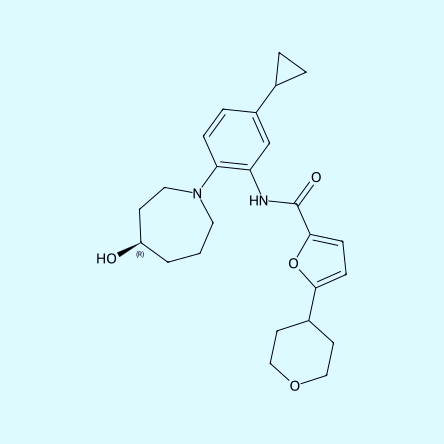 O=C(Nc1cc(C2CC2)ccc1N1CCC[C@@H](O)CC1)c1ccc(C2CCOCC2)o1